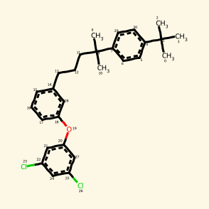 CC(C)(C)c1ccc(C(C)(C)CCCc2cccc(Oc3cc(Cl)cc(Cl)c3)c2)cc1